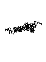 Cc1ccc(-n2cnnn2)c(-c2cc3n(c(=O)c2)[C@H](c2ncc(-c4ccc(N(C)C(=O)O)cn4)[nH]2)CC3)c1